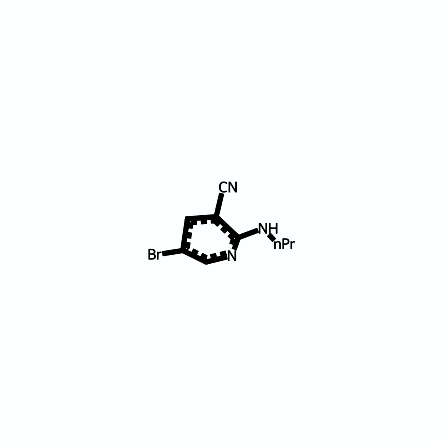 CCCNc1ncc(Br)cc1C#N